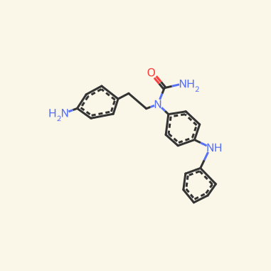 NC(=O)N(CCc1ccc(N)cc1)c1ccc(Nc2ccccc2)cc1